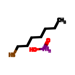 CCCCCCCS.O=[PH2]O